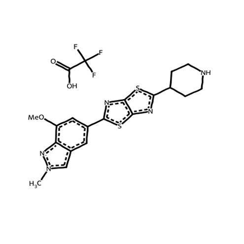 COc1cc(-c2nc3sc(C4CCNCC4)nc3s2)cc2cn(C)nc12.O=C(O)C(F)(F)F